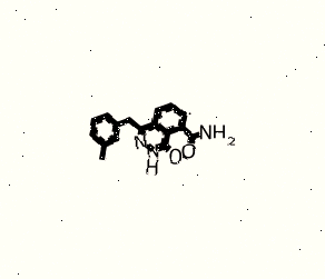 Cc1cccc(Cc2n[nH]c(=O)c3c(C(N)=O)[c]ccc23)c1